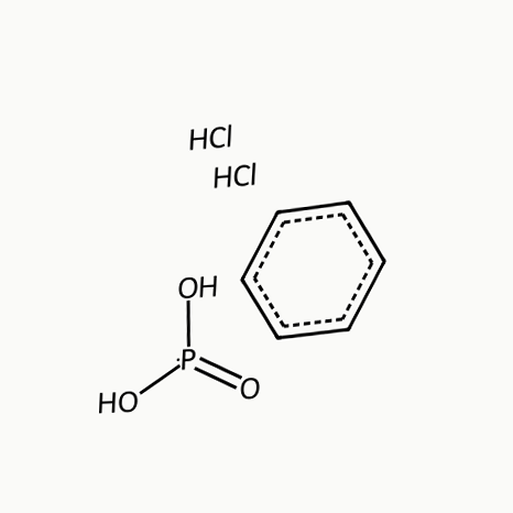 Cl.Cl.O=[P](O)O.c1ccccc1